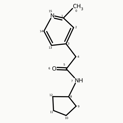 Cc1cc(CC(=O)NC2CCCC2)ccn1